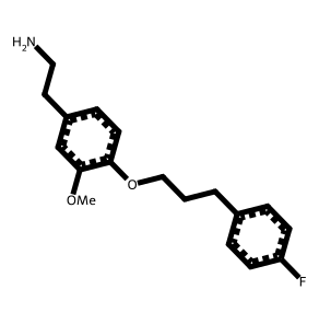 COc1cc(CCN)ccc1OCCCc1ccc(F)cc1